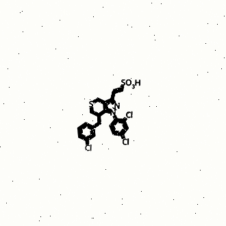 O=S(=O)(O)C=Cc1nn(-c2ccc(Cl)cc2Cl)c2c1CSCC2Cc1cccc(Cl)c1